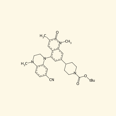 Cc1cc2c(N3CCN(C)c4ccc(C#N)cc43)cc(C3CCN(C(=O)OC(C)(C)C)CC3)cc2n(C)c1=O